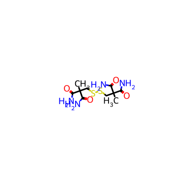 CC(CSSCC(C)(C(N)=O)C(N)=O)(C(N)=O)C(N)=O